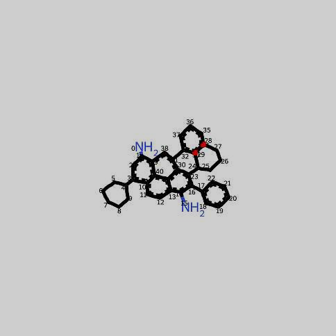 Nc1cc(C2CCCCC2)c2ccc3c(N)c(-c4ccccc4)c(C4CCCCC4)c4c(-c5ccccc5)cc1c2c34